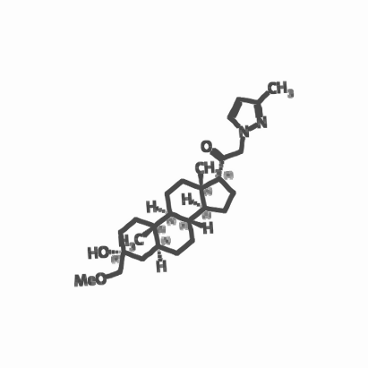 COC[C@@]1(O)CC[C@@]2(C)[C@@H](CC[C@@H]3[C@@H]2CC[C@]2(C)[C@H](C(=O)Cn4ccc(C)n4)CC[C@@H]32)C1